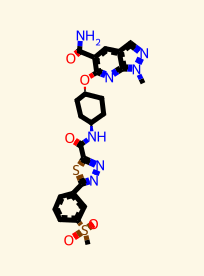 Cn1ncc2cc(C(N)=O)c(O[C@H]3CC[C@H](NC(=O)c4nnc(-c5cccc(S(C)(=O)=O)c5)s4)CC3)nc21